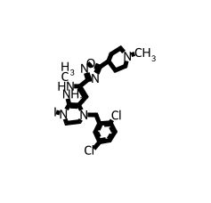 CN/C(=C\C1=C(N)N(I)CCN1Cc1cc(Cl)ccc1Cl)c1noc(C2CCN(C)CC2)n1